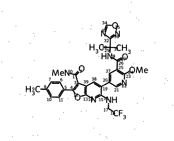 CNC(=O)c1c(-c2ccc(C)cc2)oc2nc(NCC(F)(F)F)c(-c3cnc(OC)c(C(=O)NC(C)(C)c4ncon4)c3)cc12